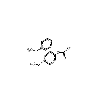 CC[n+]1ccccc1.CC[n+]1ccccc1.O=C([O-])[O-]